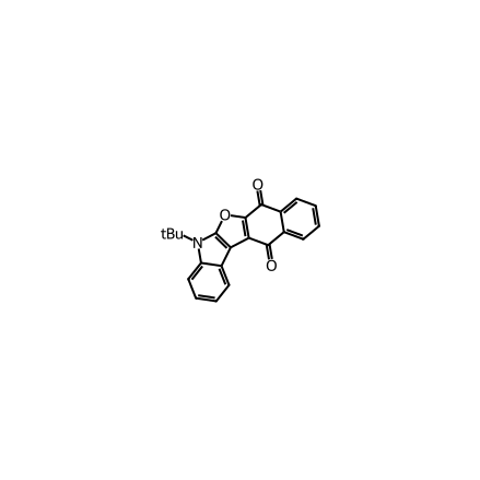 CC(C)(C)n1c2ccccc2c2c3c(oc21)C(=O)c1ccccc1C3=O